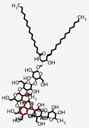 CCCCCCCCCCCCC/C=C/[C@@H](O)[C@H](CO[C@@H]1OC(CO)[C@@H](O[C@@H]2OC(CO)[C@H](O[C@@H]3OC(CO)[C@H](O[C@@H]4OC(CO)[C@H](O)[C@H](O[C@@H]5OC(CO)[C@H](O)[C@H](O[C@H]6C(O)[C@H](O)C(C)O[C@H]6O)C5O)C4NC(C)=O)[C@H](O[C@@H]4OC(CO)[C@H](O)[C@H](O)C4NC(C)=O)C3O)[C@H](O)C2O)[C@H](O)C1O)NC(=O)CCCCCCCCCCCCCCC